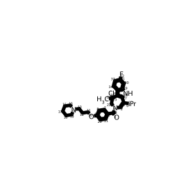 CC(C)C1=CN(C(=O)c2ccc(OCCCN3CCCCC3)cc2)CC(C)(C)c2c1[nH]c1cc(F)ccc21